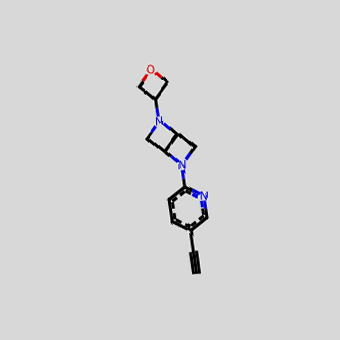 C#Cc1ccc(N2CC3C2CN3C2COC2)nc1